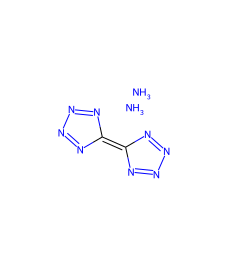 N.N.N1=NC(=C2N=NN=N2)N=N1